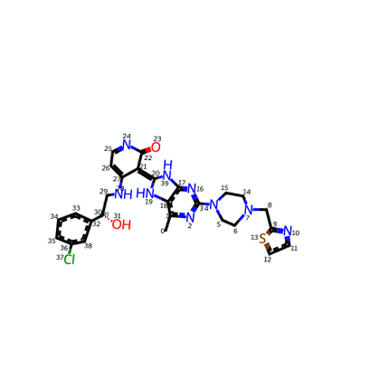 Cc1nc(N2CCN(Cc3nccs3)CC2)nc2c1NC(=C1C(=O)N=CC=C1NC[C@H](O)c1cccc(Cl)c1)N2